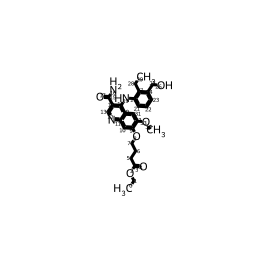 CCOC(=O)CCCOc1cc2ncc(C(N)=O)c(Nc3cccc(CO)c3CC)c2cc1OC